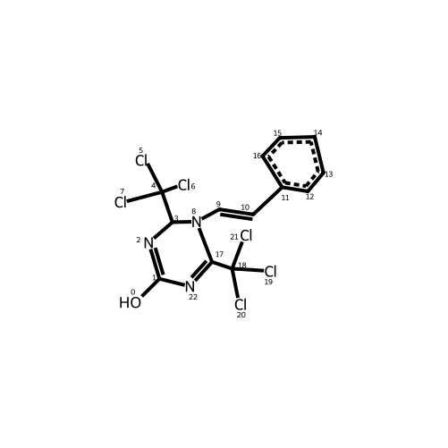 OC1=NC(C(Cl)(Cl)Cl)N(C=Cc2ccccc2)C(C(Cl)(Cl)Cl)=N1